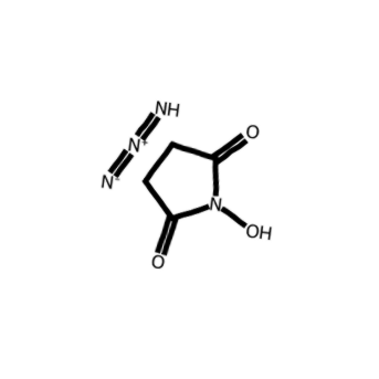 O=C1CCC(=O)N1O.[N-]=[N+]=N